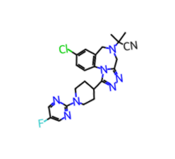 CC(C)(C#N)N1Cc2cc(Cl)ccc2-n2c(nnc2C2CCN(c3ncc(F)cn3)CC2)C1